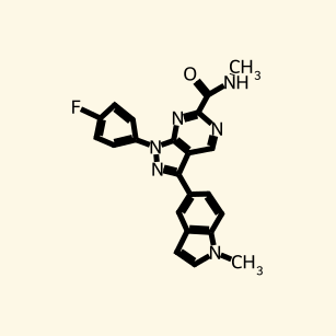 CNC(=O)c1ncc2c(-c3ccc4c(ccn4C)c3)nn(-c3ccc(F)cc3)c2n1